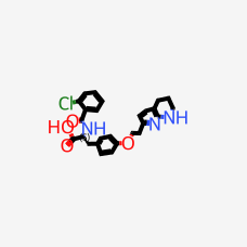 O=C(N[C@@H](Cc1ccc(OCCc2ccc3c(n2)NCCC3)cc1)C(=O)O)c1ccccc1Cl